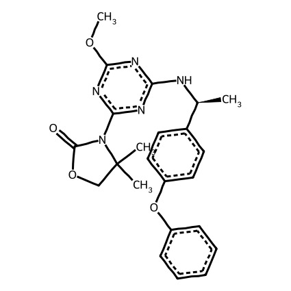 COc1nc(N[C@@H](C)c2ccc(Oc3ccccc3)cc2)nc(N2C(=O)OCC2(C)C)n1